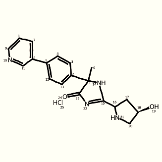 CC1(c2ccc(-c3cccnc3)cc2)NC(C2C[C@@H](O)CN2)=NC1=O.Cl